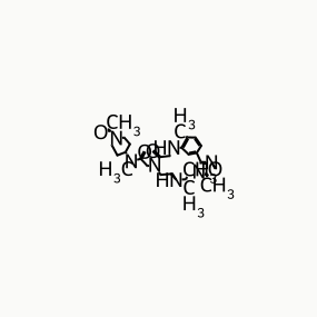 CC(=O)N1CCC(N(C)C(=O)CN(CCNC(C)C)C(=O)CNc2cc(-c3noc(C)n3)ccc2C)CC1